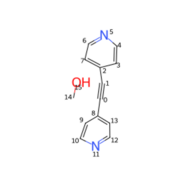 C(#Cc1ccncc1)c1ccncc1.CO